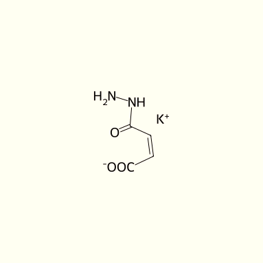 NNC(=O)/C=C\C(=O)[O-].[K+]